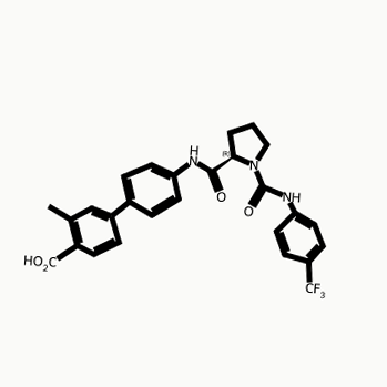 Cc1cc(-c2ccc(NC(=O)[C@H]3CCCN3C(=O)Nc3ccc(C(F)(F)F)cc3)cc2)ccc1C(=O)O